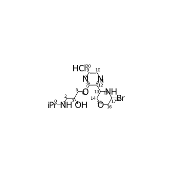 CC(C)NCC(O)COc1nccnc1C1COCC(Br)N1.Cl